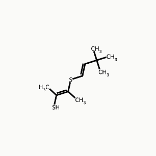 C/C(S)=C(/C)S/C=C/C(C)(C)C